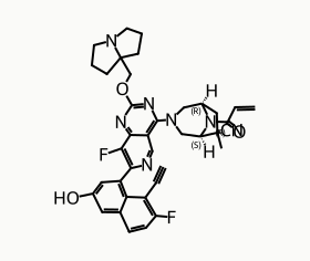 C#Cc1c(F)ccc2cc(O)cc(-c3ncc4c(N5C[C@H]6C[C@@](C)(C#N)[C@@H](C5)N6C(=O)C=C)nc(OCC56CCCN5CCC6)nc4c3F)c12